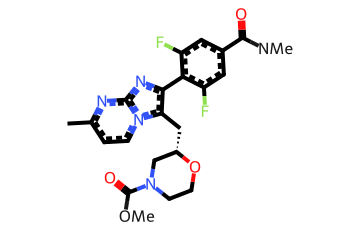 CNC(=O)c1cc(F)c(-c2nc3nc(C)ccn3c2C[C@H]2CN(C(=O)OC)CCO2)c(F)c1